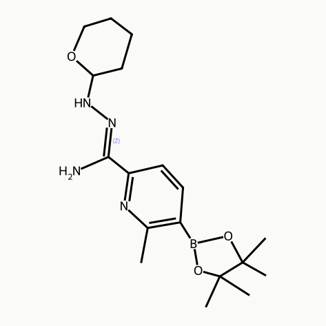 Cc1nc(/C(N)=N/NC2CCCCO2)ccc1B1OC(C)(C)C(C)(C)O1